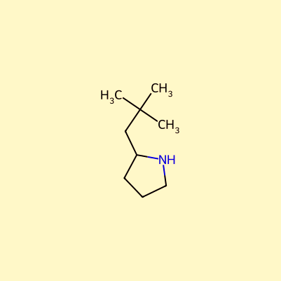 CC(C)(C)CC1CCCN1